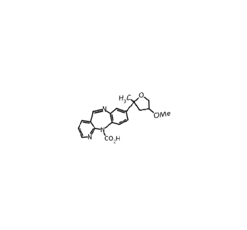 COC1COC(C)(c2ccc3c(c2)N=Cc2cccnc2N3C(=O)O)C1